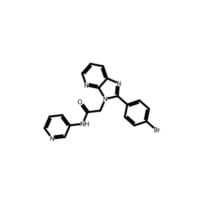 O=C(Cn1c(-c2ccc(Br)cc2)nc2cccnc21)Nc1cccnc1